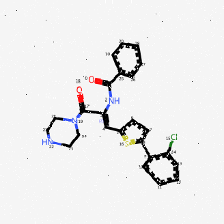 O=C(N/C(=C\c1ccc(-c2ccccc2Cl)s1)C(=O)N1CCNCC1)c1ccccc1